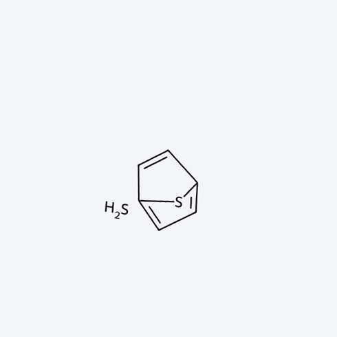 S.c1cc2ccc1s2